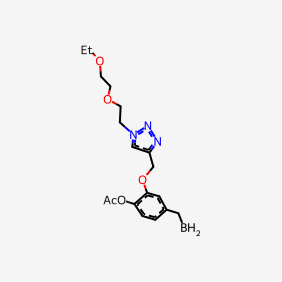 BCc1ccc(OC(C)=O)c(OCc2cn(CCOCCOCC)nn2)c1